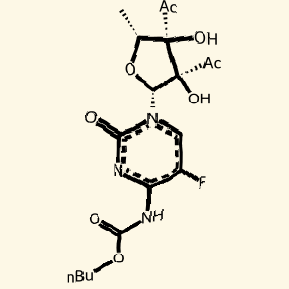 CCCCOC(=O)Nc1nc(=O)n([C@@H]2O[C@H](C)[C@](O)(C(C)=O)[C@]2(O)C(C)=O)cc1F